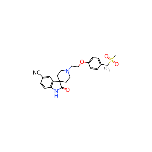 C[C@H](c1ccc(OCCN2CCC3(CC2)C(=O)Nc2ccc(C#N)cc23)cc1)S(C)(=O)=O